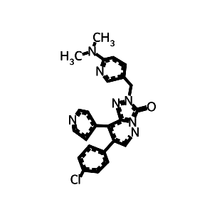 CN(C)c1ccc(Cn2nc3c(-c4ccncc4)c(-c4ccc(Cl)cc4)cnn3c2=O)cn1